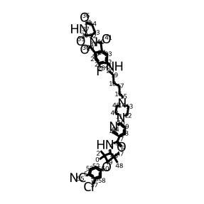 CC1(C)C(NC(=O)c2ccc(N3CCN(CCCCCCNc4cc5c(cc4F)C(=O)N(C4CCC(=O)NC4=O)C5=O)CC3)nc2)C(C)(C)C1Oc1ccc(C#N)c(Cl)c1